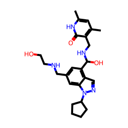 Cc1cc(C)c(CNC(O)c2cc(CNCCO)cc3c2cnn3C2CCCC2)c(=O)[nH]1